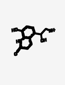 [NH]CC(O)c1ccc(O)c2[nH]c(=O)ccc12